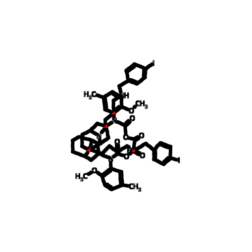 COc1ccc(C)cc1N(C(=O)OC(=O)C(=O)OC(=O)N(c1cc(C)ccc1OC)C1CC2CCCC(C1)N2CCCCNCc1ccc(I)cc1)C1CC2CCCC(C1)N2CCCCNCc1ccc(I)cc1